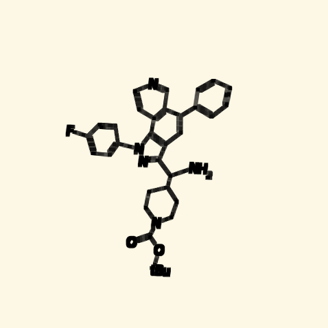 CC(C)(C)OC(=O)N1CCC(C(N)c2nn(-c3ccc(F)cc3)c3c2cc(-c2ccccc2)c2cnccc23)CC1